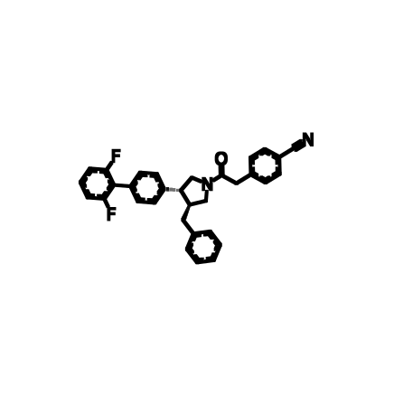 N#Cc1ccc(CC(=O)N2C[C@@H](Cc3ccccc3)[C@H](c3ccc(-c4c(F)cccc4F)cc3)C2)cc1